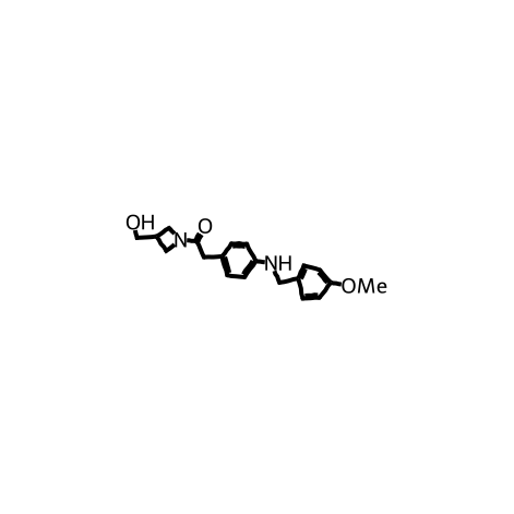 COc1ccc(CNc2ccc(CC(=O)N3CC(CO)C3)cc2)cc1